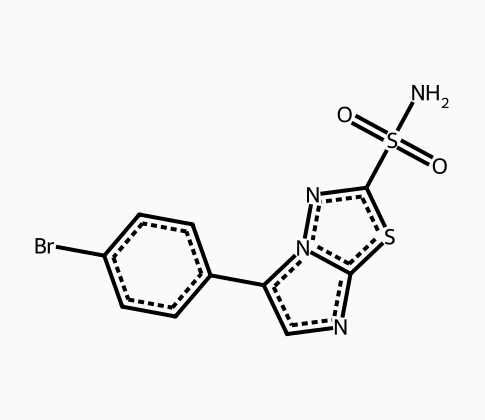 NS(=O)(=O)c1nn2c(-c3ccc(Br)cc3)cnc2s1